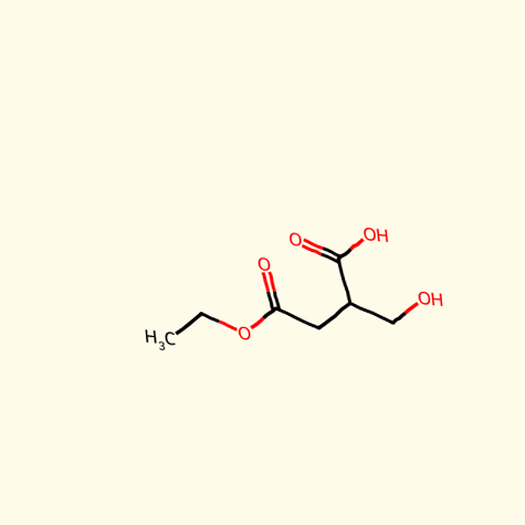 CCOC(=O)CC(CO)C(=O)O